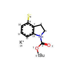 CC(C)(C)OC(=O)N1CCc2c([S-])cccc21.[K+]